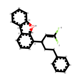 FC(F)=CC(CCc1ccccc1)c1cccc2c1oc1ccccc12